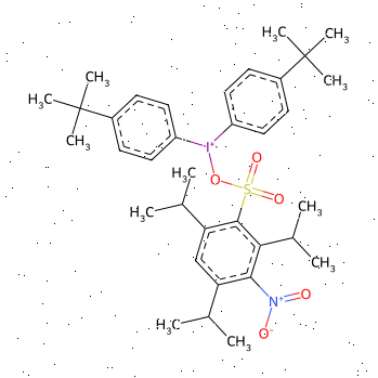 CC(C)c1cc(C(C)C)c(S(=O)(=O)O[I+](c2ccc(C(C)(C)C)cc2)c2ccc(C(C)(C)C)cc2)c(C(C)C)c1[N+](=O)[O-]